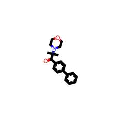 CC(C)(C(=O)c1ccc(-c2ccccc2)cc1)N1CCOCC1